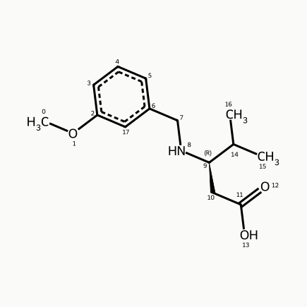 COc1cccc(CN[C@H](CC(=O)O)C(C)C)c1